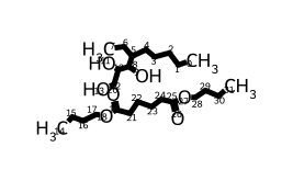 CCCCCC(CC)C(O)C(O)CO.CCCCOC(=O)CCCCC(=O)OCCCC